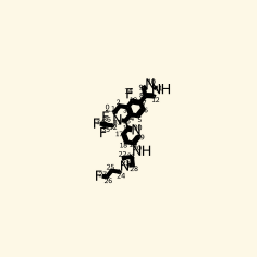 C[C@@H]1Cc2c(ccc(-c3cn[nH]c3)c2F)[C@@H](c2ccc(NC3CN(CCCF)C3)cn2)N1CC(F)(F)F